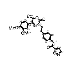 CCC1OC(=O)N(CCc2ccc(NC(=O)c3ccno3)cc2)N=C1c1ccc(OC)c(OC)c1